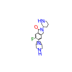 O=C1c2cc(F)c(N3C4CCC3CNC4)cc2CN1C1CCCNC1